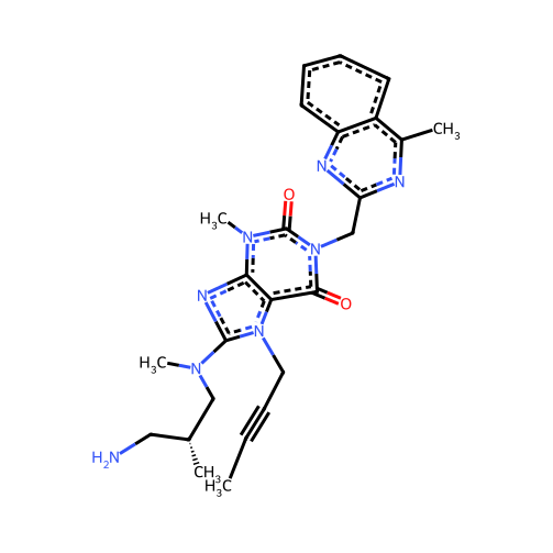 CC#CCn1c(N(C)C[C@H](C)CN)nc2c1c(=O)n(Cc1nc(C)c3ccccc3n1)c(=O)n2C